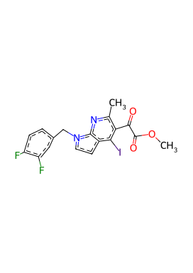 COC(=O)C(=O)c1c(C)nc2c(ccn2Cc2ccc(F)c(F)c2)c1I